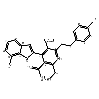 CCOC(=O)c1c(CCc2ccc(F)cc2)nc(CC(C)C)c(C(N)=O)c1-c1cc2cccc(Br)c2s1